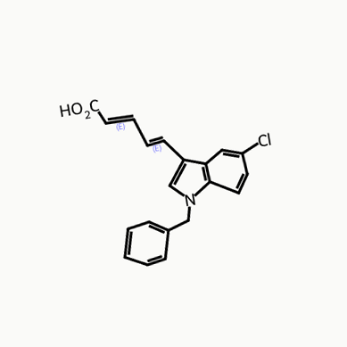 O=C(O)/C=C/C=C/c1cn(Cc2ccccc2)c2ccc(Cl)cc12